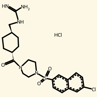 Cl.N=C(N)NC[C@H]1CC[C@H](C(=O)N2CCN(S(=O)(=O)c3ccc4cc(Cl)ccc4c3)CC2)CC1